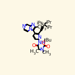 Cc1nc2cnccn2c1-c1ccc(NC(=O)C(C)N(C)C(=O)OC(C)(C)C)nc1C#C[Si](C(C)C)(C(C)C)C(C)C